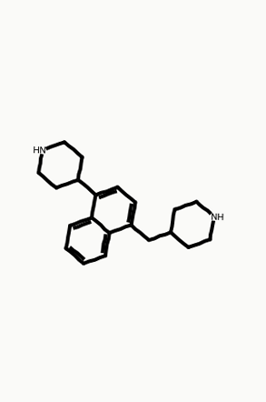 c1ccc2c(C3CCNCC3)ccc(CC3CCNCC3)c2c1